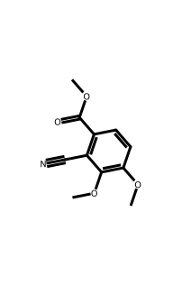 COC(=O)c1ccc(OC)c(OC)c1C#N